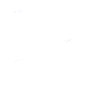 COc1ccccc1C/C=C(\F)CN.Cl